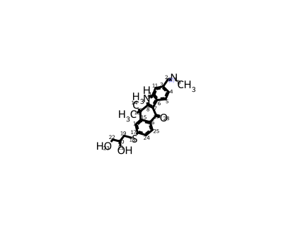 C/N=C\c1ccc2c3c([nH]c2c1)C(C)(C)c1cc(SCC(O)CO)ccc1C3=O